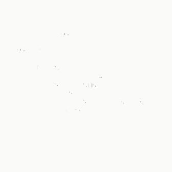 C=CC(=O)NC1CC(N2CCN(CC)CC2C2CCCCCC2)CCC1N(CCCCCC)c1ncc2c(n1)N(C)C(=O)N(c1c(Cl)c(OC)cc(OC)c1Cl)C2